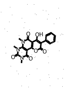 Cn1c(=O)c2c3oc(=O)c(-c4ccccc4)c(O)c3c(=O)n(C)c2n(C)c1=O